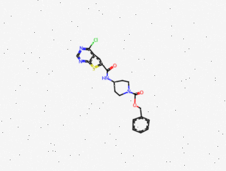 O=C(NC1CCN(C(=O)OCc2ccccc2)CC1)c1cc2c(Cl)ncnc2s1